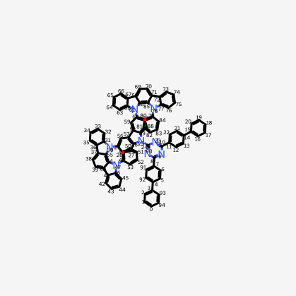 c1ccc(-c2ccc(-c3nc(-c4ccc(-c5ccccc5)cc4)nc(-n4c5ccc(-n6c7ccccc7c7ccc8c9ccccc9n(-c9ccccc9)c8c76)cc5c5cc(-n6c7ccccc7c7ccc8c9ccccc9n(-c9ccccc9)c8c76)ccc54)n3)cc2)cc1